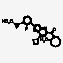 C[C@@H]1CCCCCN1C(=O)c1cc(C2CCC2)n2nc(-c3cccc([C@H]4C[C@@H]4C(=O)O)c3F)cc2n1